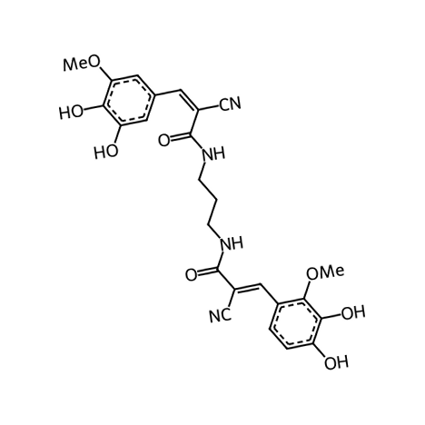 COc1cc(C=C(C#N)C(=O)NCCCNC(=O)C(C#N)=Cc2ccc(O)c(O)c2OC)cc(O)c1O